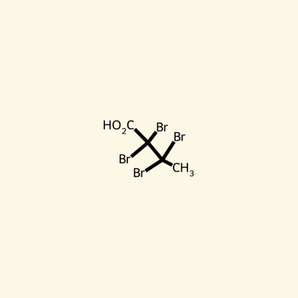 CC(Br)(Br)C(Br)(Br)C(=O)O